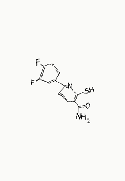 NC(=O)c1ccc(-c2ccc(F)c(F)c2)nc1S